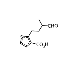 CC(C=O)CCc1sccc1C(=O)O